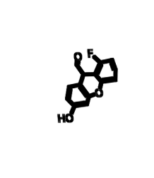 O=CC1c2ccc(O)cc2Oc2cccc(F)c21